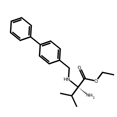 CCOC(=O)[C@](N)(NCc1ccc(-c2ccccc2)cc1)C(C)C